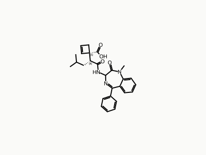 CC(C)C[C@@H](C(=O)NC1N=C(c2ccccc2)c2ccccc2N(C)C1=O)[C@@]1(C(=O)O)C=CC1